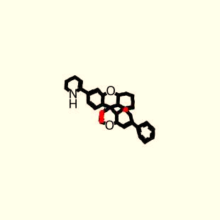 C1=CC2C(CC1)OC1C=C(C3=CCCCN3)C=CC1C21C2CCCC=C2OC2C=C(c3ccccc3)CCC21